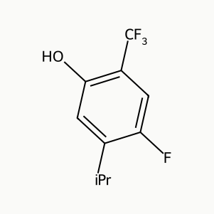 CC(C)c1cc(O)c(C(F)(F)F)cc1F